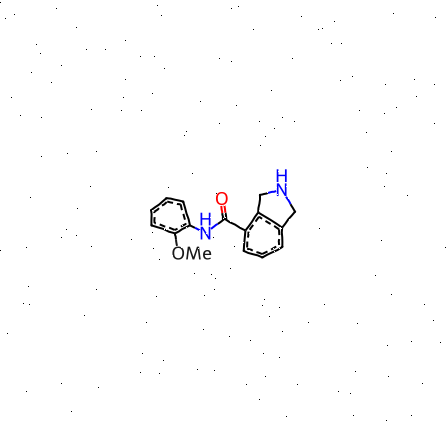 COc1ccccc1NC(=O)c1cccc2c1CNC2